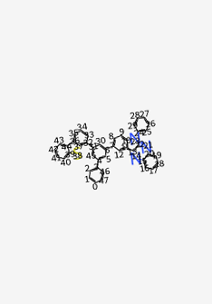 c1ccc(-c2cc(-c3ccc4c(c3)c3nc5ccccc5nc3n4-c3ccccc3)cc(-c3cccc4c3sc3ccccc34)c2)cc1